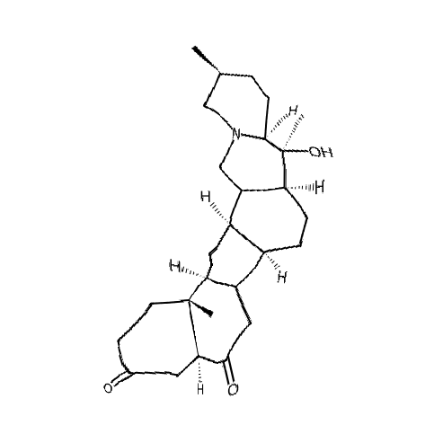 C[C@H]1CC[C@@H]2N(CC3[C@@H]4C[C@H]5C(CC(=O)[C@H]6CC(=O)CC[C@@]65C)[C@@H]4CC[C@@H]3[C@]2(C)O)C1